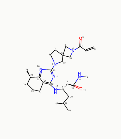 C=CC(=O)N1CC2(CCN(c3nc(N[C@H](CC(=O)NC)CC(C)C)c4c(n3)[C@H](C)CCC4)C2)C1